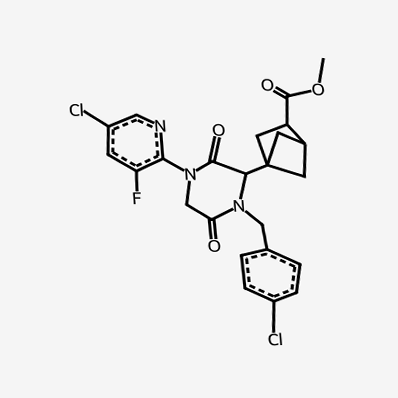 COC(=O)C1CC2(C3C(=O)N(c4ncc(Cl)cc4F)CC(=O)N3Cc3ccc(Cl)cc3)CC1C2